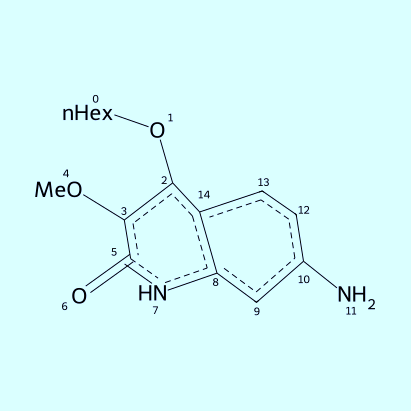 CCCCCCOc1c(OC)c(=O)[nH]c2cc(N)ccc12